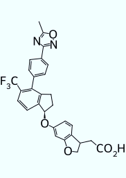 Cc1nc(-c2ccc(-c3c(C(F)(F)F)ccc4c3CC[C@H]4Oc3ccc4c(c3)OCC4CC(=O)O)cc2)no1